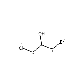 OC(CCl)CBr